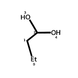 CCCC(O)O